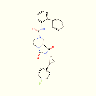 O=C(Nc1ccccc1-c1ccccc1)N1CCN2C(=O)N([C@@H]3C[C@H]3c3ccc(F)cc3)C(=O)C2C1